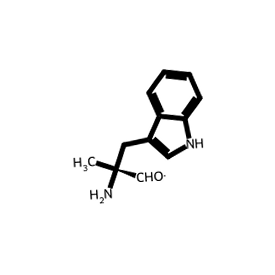 C[C@](N)([C]=O)Cc1c[nH]c2ccccc12